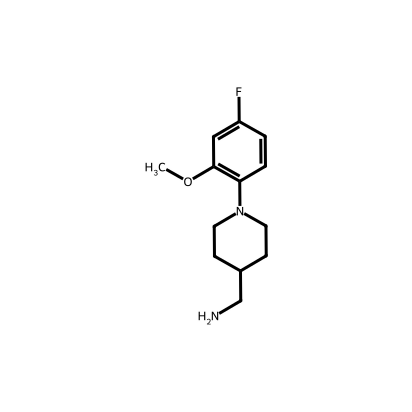 COc1cc(F)ccc1N1CCC(CN)CC1